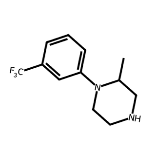 CC1CNCCN1c1cccc(C(F)(F)F)c1